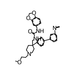 C=Nc1cccc(-c2ccc(C3(CNC(=O)Nc4ccc5c(c4)OCO5)CCN(CCOC)CC3)cc2)c1